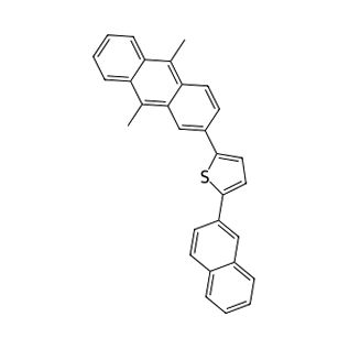 Cc1c2ccccc2c(C)c2cc(-c3ccc(-c4ccc5ccccc5c4)s3)ccc12